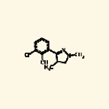 CC1CN(C)N=C1c1cccc(Cl)c1O